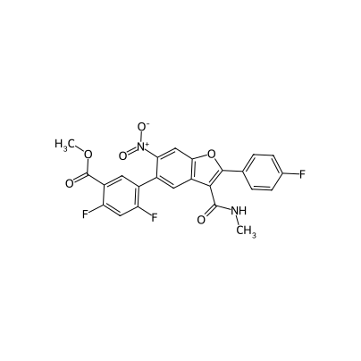 CNC(=O)c1c(-c2ccc(F)cc2)oc2cc([N+](=O)[O-])c(-c3cc(C(=O)OC)c(F)cc3F)cc12